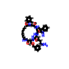 C[C@@H](OCc1ccccc1)[C@@H]1NC(=O)[C@H](CCCCN)NC(=O)[C@@H](Cc2c[nH]c3ccccc23)NC(=O)[C@H](Cc2ccccc2)NC(=O)CCCCCCNC1=O